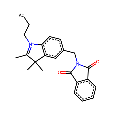 CC(=O)CC[N+]1=C(C)C(C)(C)c2cc(CN3C(=O)c4ccccc4C3=O)ccc21